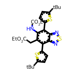 CCOC(=O)Cc1c(NC(=O)OCC)c(-c2ccc(C(C)(C)C)s2)c2nsnc2c1-c1ccc(C(C)(C)C)s1